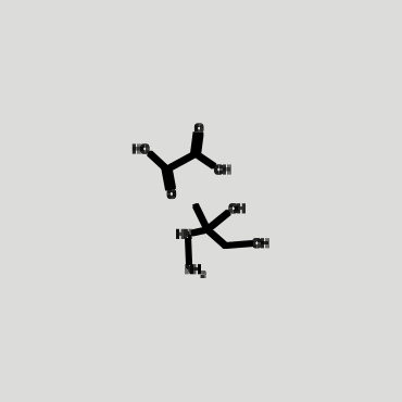 CC(O)(CO)NN.O=C(O)C(=O)O